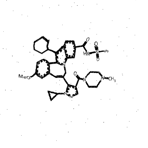 COc1ccc2c(c1)C=C(c1c(C(=O)N3CCN(C)CC3)cnn1C1CC1)Cn1c-2c(C2CCCCC2)c2ccc(C(=O)NS(=O)(=O)C(C)C)cc21